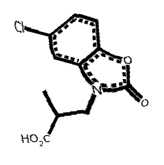 CC(Cn1c(=O)oc2ccc(Cl)cc21)C(=O)O